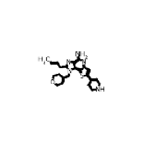 CCCCc1nc2c(N)nc3cc(C4CCNCC4)sc3c2n1CC1CCOCC1